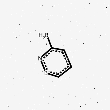 Bc1cccbn1